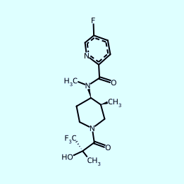 C[C@H]1CN(C(=O)[C@@](C)(O)C(F)(F)F)CC[C@H]1N(C)C(=O)c1ccc(F)cn1